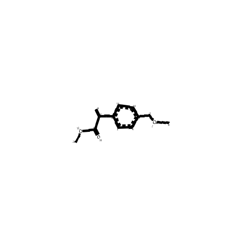 COCc1ccc(C(C)C(=O)OC)cc1